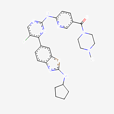 CCN1CCN(C(=O)c2ccc(Nc3ncc(F)c(-c4ccc5nc(NC6CCCC6)sc5c4)n3)nc2)CC1